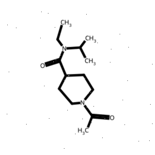 CCN(C(=O)C1CCN(C(C)=O)CC1)C(C)C